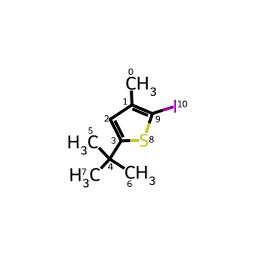 Cc1cc(C(C)(C)C)sc1I